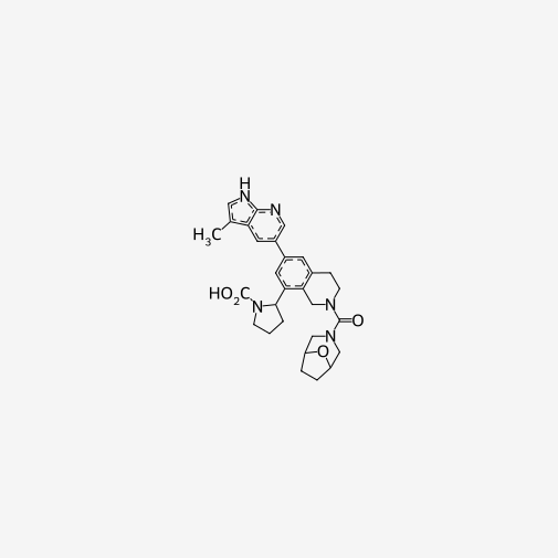 Cc1c[nH]c2ncc(-c3cc4c(c(C5CCCN5C(=O)O)c3)CN(C(=O)N3CC5CCC(C3)O5)CC4)cc12